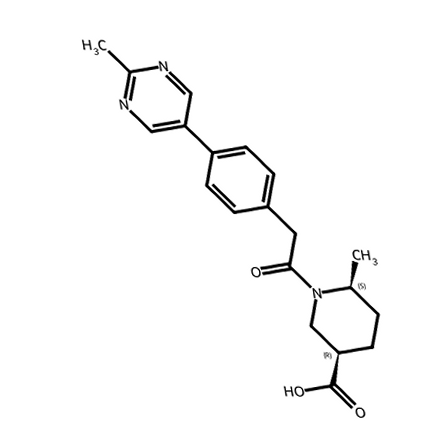 Cc1ncc(-c2ccc(CC(=O)N3C[C@H](C(=O)O)CC[C@@H]3C)cc2)cn1